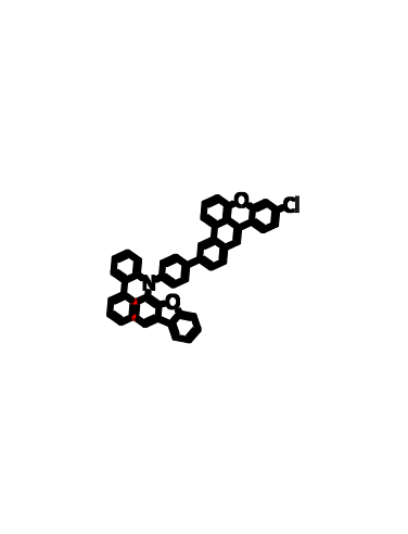 Clc1ccc2c(c1)Oc1cccc3c1c-2cc1ccc(-c2ccc(N(c4ccccc4-c4ccccc4)c4cccc5c4oc4ccccc45)cc2)cc13